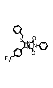 O=c1n(-c2ccccc2)c(=O)n2c(-c3ccc(C(F)(F)F)cc3)c(SCc3ccccc3)n12